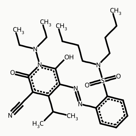 CCCCN(CCCC)S(=O)(=O)c1ccccc1/N=N/c1c(C(C)C)c(C#N)c(=O)n(N(CC)CC)c1O